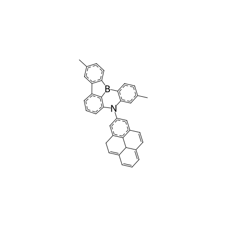 Cc1ccc2c(c1)-c1cccc3c1B2c1ccc(C)cc1N3c1cc2c3c(c1)CC=C1C=CC=C(C=C2)C13